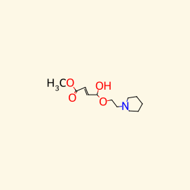 COC(=O)/C=C/C(O)OCCN1CCCCC1